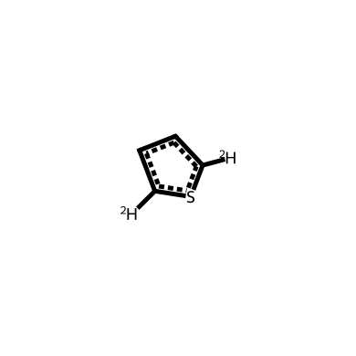 [2H]c1ccc([2H])s1